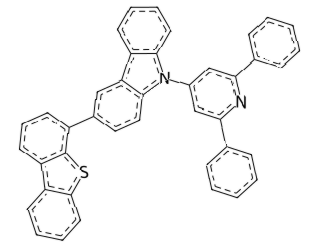 c1ccc(-c2cc(-n3c4ccccc4c4cc(-c5cccc6c5sc5ccccc56)ccc43)cc(-c3ccccc3)n2)cc1